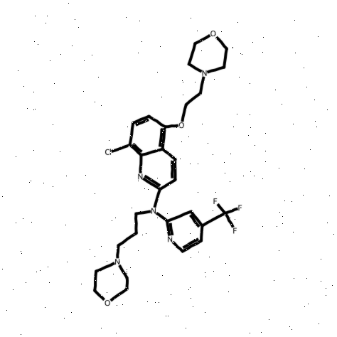 FC(F)(F)c1ccnc(N(CCCN2CCOCC2)c2ccc3c(OCCN4CCOCC4)ccc(Cl)c3n2)c1